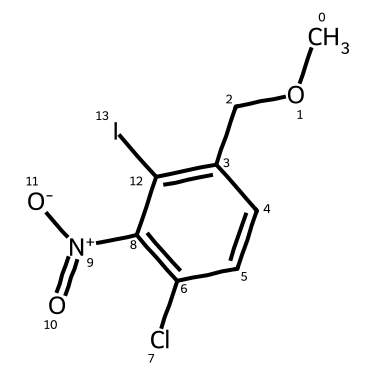 COCc1ccc(Cl)c([N+](=O)[O-])c1I